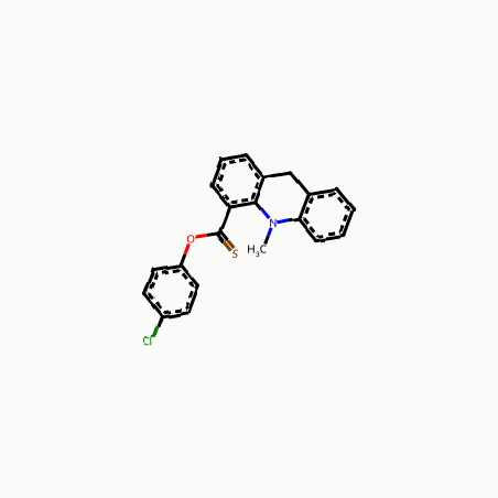 CN1c2ccccc2Cc2cccc(C(=S)Oc3ccc(Cl)cc3)c21